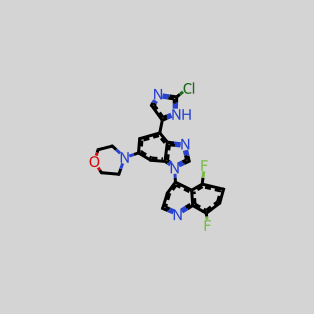 Fc1ccc(F)c2c(-n3cnc4c(-c5cnc(Cl)[nH]5)cc(N5CCOCC5)cc43)ccnc12